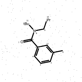 Cc1cccc(C(=O)N(CC(C)C)C(C)(C)C)c1